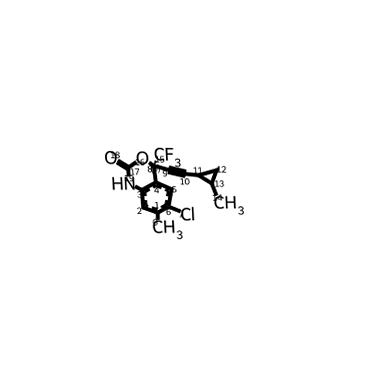 Cc1cc2c(cc1Cl)[C@@](C#CC1CC1C)(C(F)(F)F)OC(=O)N2